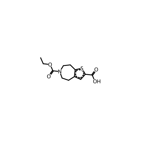 CCOC(=O)N1CCc2cc(C(=O)O)sc2CC1